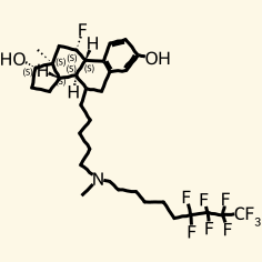 CN(CCCCCCC(F)(F)C(F)(F)C(F)(F)C(F)(F)F)CCCCCC1Cc2cc(O)ccc2[C@@H]2[C@@H]1[C@@H]1CC[C@H](O)[C@@]1(C)C[C@@H]2F